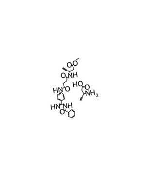 C#CC(CC(=O)OCC)NC(=O)CCC(=O)Nc1ccc(C(=N)NC(=O)c2ccccc2)cc1.C#CC(N)CC(=O)O